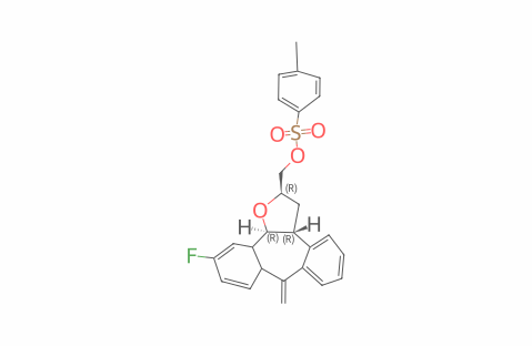 C=C1c2ccccc2[C@H]2C[C@H](COS(=O)(=O)c3ccc(C)cc3)O[C@@H]2C2C=C(F)C=CC12